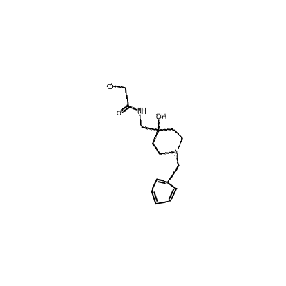 O=C(CCl)NCC1(O)CCN(Cc2ccccc2)CC1